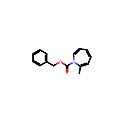 CC1=CC=CC=CN1C(=O)OCc1ccccc1